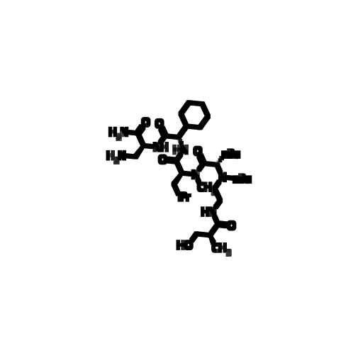 CCCC[C@@H](C(=O)N(C)[C@@H](CC(C)C)C(=O)N[C@H](C(=O)N[C@@H](CN)C(N)=O)C1CCCCC1)N(CCCC)CCNC(=O)[C@@H](C)CO